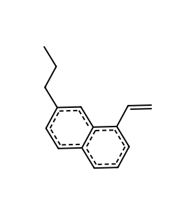 C=Cc1cccc2ccc(CCC)cc12